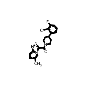 Cc1ccc2nnc(C(=O)N3CCC(c4cccc(F)c4Cl)CC3)n2c1